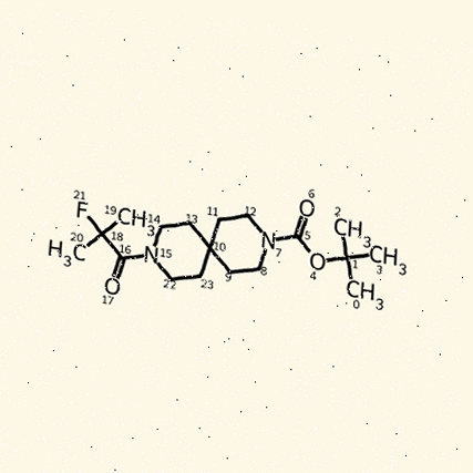 CC(C)(C)OC(=O)N1CCC2(CC1)CCN(C(=O)C(C)(C)F)CC2